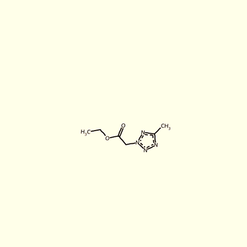 CCOC(=O)Cn1nnc(C)n1